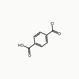 O=C(O)c1ccc(C(=O)Cl)cc1